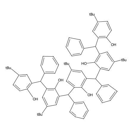 CC(C)(C)c1ccc(O)c(C(c2ccccc2)c2cc(C(C)(C)C)cc(C(c3ccccc3)c3cc(C(C)(C)C)cc(C(c4ccccc4)c4cc(C(C)(C)C)cc(C(c5ccccc5)c5cc(C(C)(C)C)ccc5O)c4O)c3O)c2O)c1